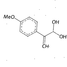 [CH]=C(c1ccc(OC)cc1)C(O)O